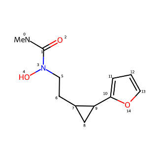 CNC(=O)N(O)CCC1CC1c1ccco1